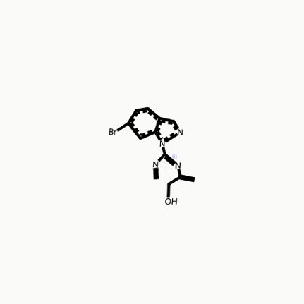 C=N/C(=N\C(=C)CO)n1ncc2ccc(Br)cc21